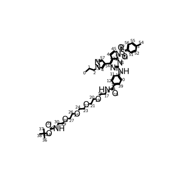 CCCn1cc(-c2nc(Nc3ccc(C(=O)NCCOCCOCCOCCOCCNC(=O)OC(C)(C)C)cc3)nc3c2ccn3S(=O)(=O)c2ccc(C)cc2)cn1